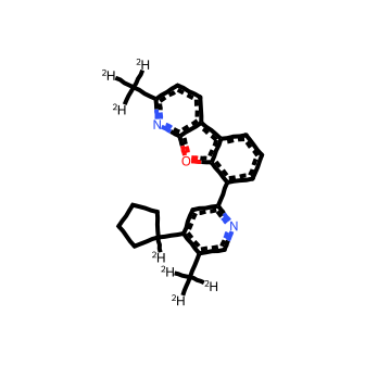 [2H]C([2H])([2H])c1ccc2c(n1)oc1c(-c3cc(C4([2H])CCCC4)c(C([2H])([2H])[2H])cn3)cccc12